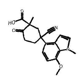 COc1ccc(C2(C#N)CCC(=O)C(C)(C(=O)O)C2)c2ccn(C)c12